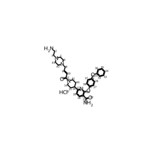 Cl.NCCN1CCN(CC=CC(=O)N2CCC(c3ccc(C(N)=O)c(Oc4ccc(Oc5ccccc5)cc4)n3)CC2)CC1